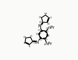 CCCc1cc(CCC)c(/N=C2/C=CCC2)cc1/N=C1\C=CCC1